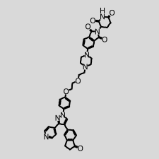 O=C1CCC(N2C(=O)c3ccc(N4CCN(CCOCCOc5ccc(-n6cc(-c7ccc8c(c7)CCC8=O)c(-c7ccncc7)n6)cc5)CC4)cc3C2=O)C(=O)N1